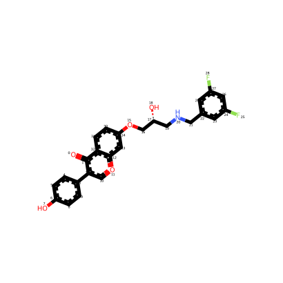 O=c1c(-c2ccc(O)cc2)coc2cc(OC[C@H](O)CNCc3cc(F)cc(F)c3)ccc12